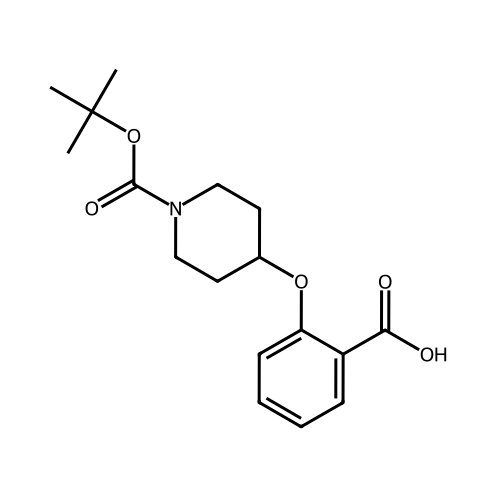 CC(C)(C)OC(=O)N1CCC(Oc2ccccc2C(=O)O)CC1